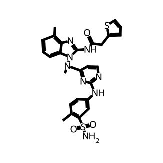 Cc1ccc(Nc2nccc(N(C)n3c(NC(=O)Cc4cccs4)nc4c(C)cccc43)n2)cc1S(N)(=O)=O